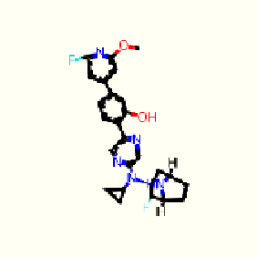 COc1cc(-c2ccc(-c3cnc(N(C4CC4)[C@H]4C[C@@H]5CC[C@@H](N5)[C@H]4F)cn3)c(O)c2)cc(F)n1